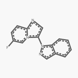 Fc1ccc2ncc(-n3ncc4ccccc43)n2c1